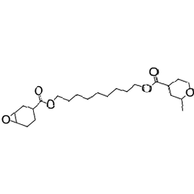 CC1CC(C(=O)OCCCCCCCCCOC(=O)C2CCC3OC3C2)CCO1